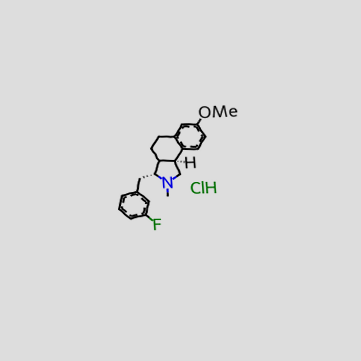 COc1ccc2c(c1)CCC1[C@@H]2CN(C)[C@@H]1Cc1cccc(F)c1.Cl